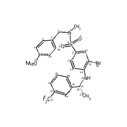 COc1ccc(CN(C)S(=O)(=O)c2ccc(N[C@H](C)c3cccc(C(F)(F)F)c3)c(Br)c2)cc1